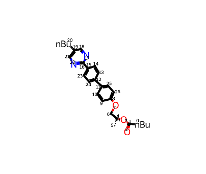 CCCCC(=O)O[C@H](C)COc1ccc(-c2ccc(-c3ncc(CCCC)cn3)cc2)cc1